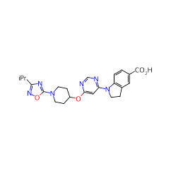 CC(C)c1noc(N2CCC(Oc3cc(N4CCc5cc(C(=O)O)ccc54)ncn3)CC2)n1